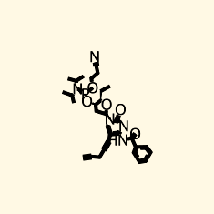 C#CCC#Cc1cn([C@H]2C[C@@H](OP(OCCC#N)N(C(C)C)C(C)C)[C@@H](CC)O2)c(=O)nc1NC(=O)c1ccccc1